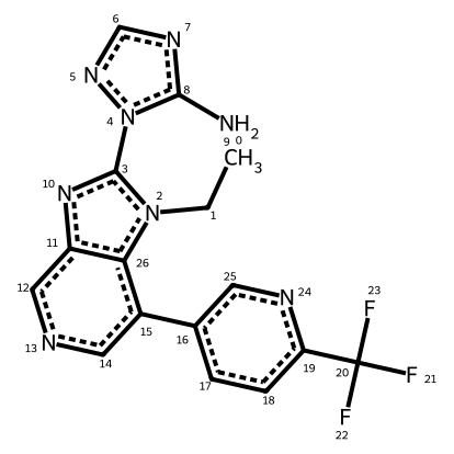 CCn1c(-n2ncnc2N)nc2cncc(-c3ccc(C(F)(F)F)nc3)c21